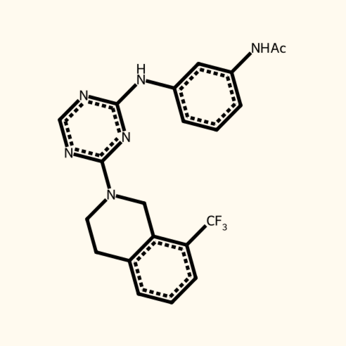 CC(=O)Nc1cccc(Nc2ncnc(N3CCc4cccc(C(F)(F)F)c4C3)n2)c1